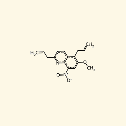 C=CCc1ccc2c(CC=C)c(OC)cc([N+](=O)[O-])c2n1